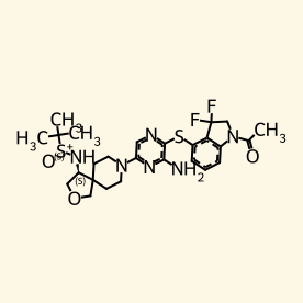 CC(=O)N1CC(F)(F)c2c(Sc3ncc(N4CCC5(CC4)COC[C@H]5N[S@+]([O-])C(C)(C)C)nc3N)cccc21